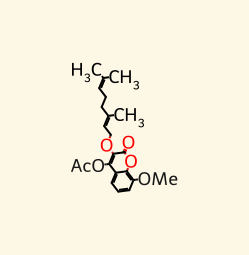 COc1cccc2c(OC(C)=O)c(OC/C=C(\C)CCC=C(C)C)c(=O)oc12